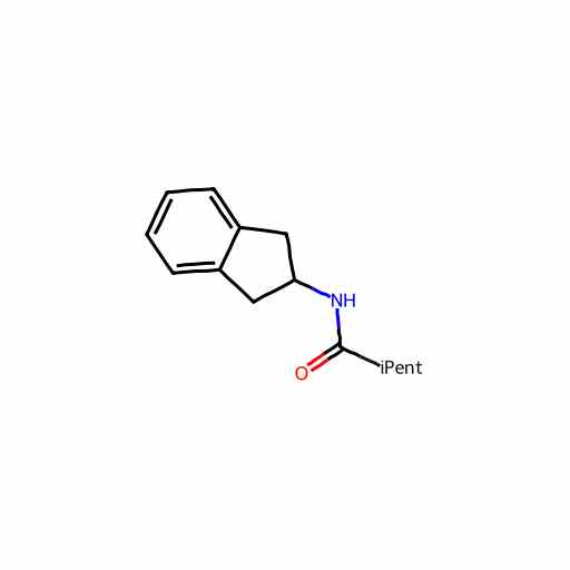 CCCC(C)C(=O)NC1Cc2ccccc2C1